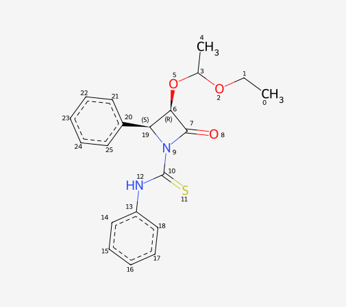 CCOC(C)O[C@H]1C(=O)N(C(=S)Nc2ccccc2)[C@H]1c1ccccc1